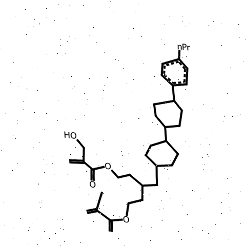 C=C(C)C(=C)OCCC(CCOC(=O)C(=C)CO)CC1CCC(C2CCC(c3ccc(CCC)cc3)CC2)CC1